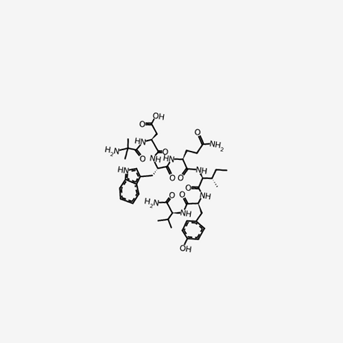 CC[C@H](C)[C@H](NC(=O)[C@H](CCC(N)=O)NC(=O)[C@H](Cc1c[nH]c2ccccc12)NC(=O)[C@H](CC(=O)O)NC(=O)C(C)(C)N)C(=O)N[C@@H](Cc1ccc(O)cc1)C(=O)N[C@H](C(N)=O)C(C)C